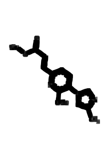 COc1nc(C=CC(=O)OC(C)(C)C)ccc1-n1cnc(C)c1